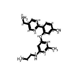 Cc1nc(NCCN)cc(Oc2cc(C#N)ccc2-c2ncc(CN)cn2)n1